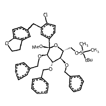 CO[C@@]1(c2ccc(Cl)c(Cc3ccc4c(c3)CCO4)c2)O[C@H](CO[Si](C)(C)C(C)(C)C)[C@@H](OCc2ccccc2)[C@H](OCc2ccccc2)[C@H]1OCc1ccccc1